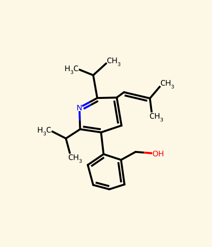 CC(C)=Cc1cc(-c2ccccc2CO)c(C(C)C)nc1C(C)C